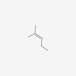 CC[C]=C(C)C